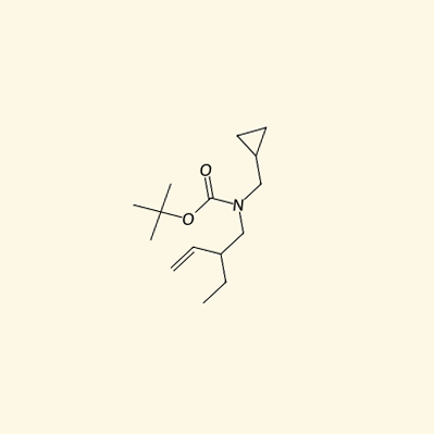 C=CC(CC)CN(CC1CC1)C(=O)OC(C)(C)C